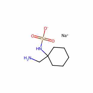 NCC1(NS(=O)(=O)[O-])CCCCC1.[Na+]